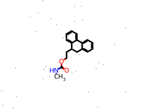 CNC(=O)OCCC1Cc2ccccc2-c2ccccc21